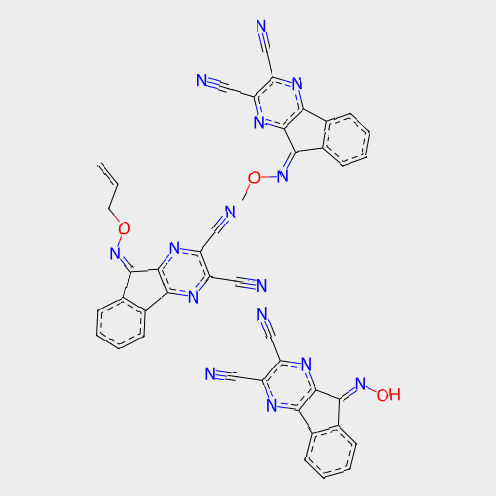 C=CCON=C1c2ccccc2-c2nc(C#N)c(C#N)nc21.CON=C1c2ccccc2-c2nc(C#N)c(C#N)nc21.N#Cc1nc2c(nc1C#N)-c1ccccc1C2=NO